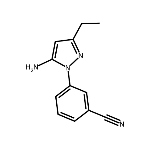 CCc1cc(N)n(-c2cccc(C#N)c2)n1